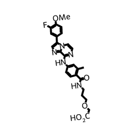 COc1ccc(-c2cnc3c(Nc4ccc(C(=O)NCCCOCC(=O)O)c(C)c4)nccn23)cc1F